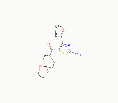 Nc1nc(-c2ccco2)c(C(=O)C2CCC3(CC2)OCCO3)s1